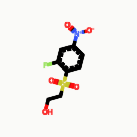 O=[N+]([O-])c1ccc(S(=O)(=O)CCO)c(F)c1